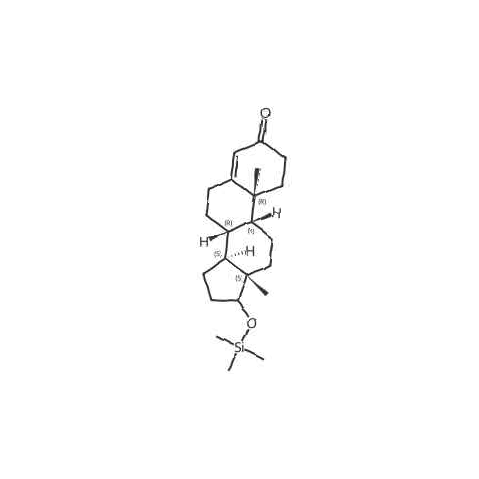 C[C@]12CCC(=O)C=C1CC[C@@H]1[C@H]2CC[C@]2(C)C(O[Si](C)(C)C)CC[C@@H]12